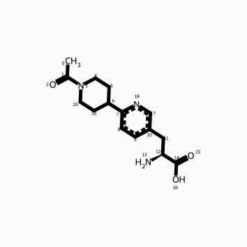 CC(=O)N1CCC(c2ccc(C[C@H](N)C(=O)O)cn2)CC1